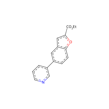 CCOC(=O)c1cc2cc(-c3cccnc3)ccc2o1